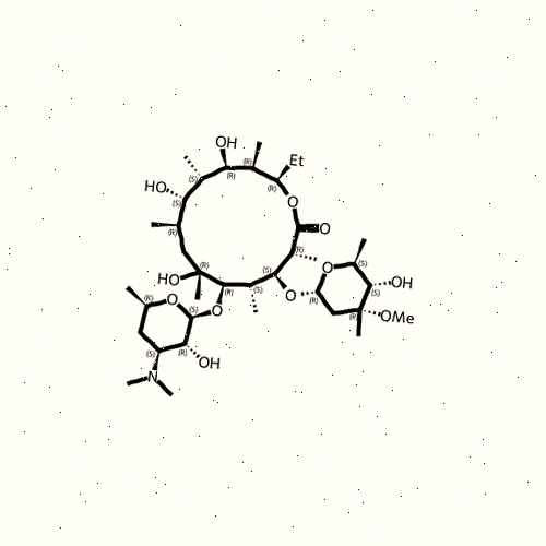 CC[C@H]1OC(=O)[C@H](C)[C@@H](O[C@H]2C[C@@](C)(OC)[C@@H](O)[C@H](C)O2)[C@H](C)[C@@H](O[C@@H]2O[C@H](C)C[C@H](N(C)C)[C@H]2O)[C@](C)(O)C[C@@H](C)[C@H](O)[C@H](C)[C@@H](O)[C@H]1C